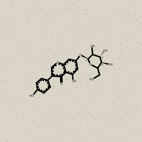 O=c1c(-c2ccc(O)cc2)coc2cc(O[C@@H]3OC(CO)[C@H](O)[C@@H](O)C3O)cc(O)c12